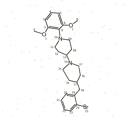 COc1cccc(OC)c1N1CCC(N2CCC(Cc3ccccc3Br)CC2)CC1